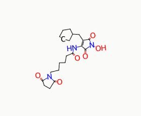 O=C(CCCCCN1C(=O)CCC1=O)NC1=C(CC2CCCCC2)C(=O)N(O)C1=O